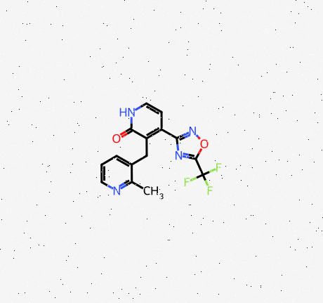 Cc1ncccc1Cc1c(-c2noc(C(F)(F)F)n2)cc[nH]c1=O